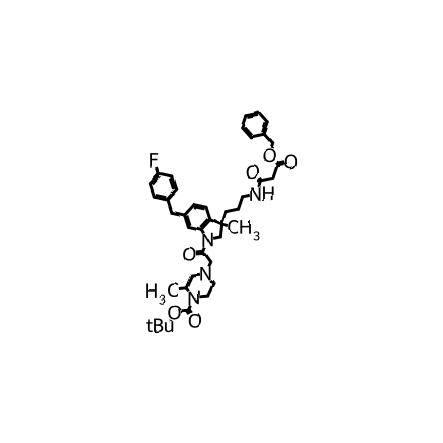 CC1CN(CC(=O)N2CC(C)(CCCNC(=O)CC(=O)OCc3ccccc3)c3ccc(Cc4ccc(F)cc4)cc32)CCN1C(=O)OC(C)(C)C